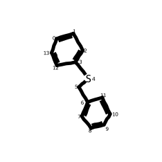 [c]1ccc(SCc2ccccc2)cc1